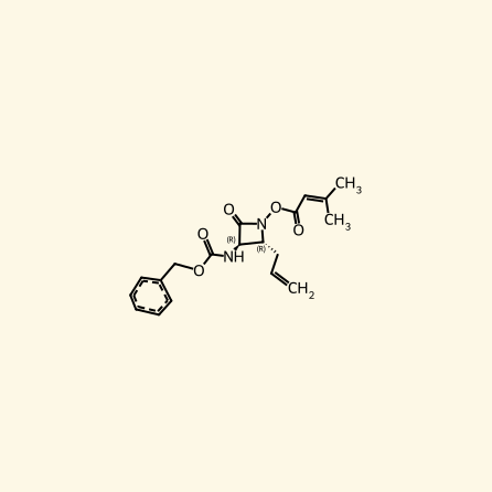 C=CC[C@@H]1[C@@H](NC(=O)OCc2ccccc2)C(=O)N1OC(=O)C=C(C)C